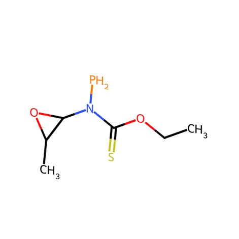 CCOC(=S)N(P)C1OC1C